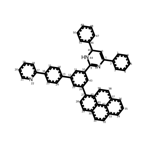 C1=C(c2ccccc2)N=C(c2cc(-c3ccc(-c4ccccn4)cc3)cc(-c3ccc4ccc5cccc6ccc3c4c56)c2)NC1c1ccccc1